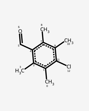 Cc1c(C)c(C=O)c(C)c(C)c1Cl